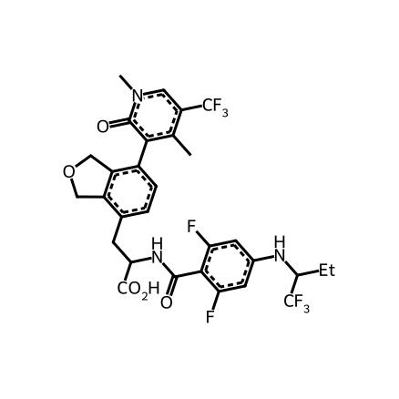 CCC(Nc1cc(F)c(C(=O)NC(Cc2ccc(-c3c(C)c(C(F)(F)F)cn(C)c3=O)c3c2COC3)C(=O)O)c(F)c1)C(F)(F)F